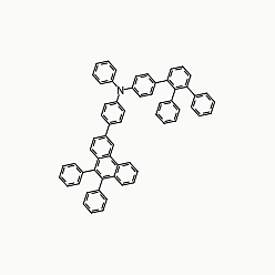 c1ccc(-c2cccc(-c3ccc(N(c4ccccc4)c4ccc(-c5ccc6c(-c7ccccc7)c(-c7ccccc7)c7ccccc7c6c5)cc4)cc3)c2-c2ccccc2)cc1